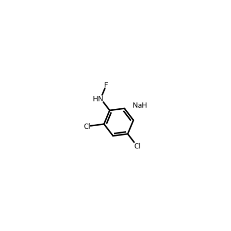 FNc1ccc(Cl)cc1Cl.[NaH]